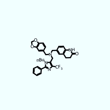 CCCCn1c(-c2ccccc2)nc(C(F)(F)F)c1CN(Cc1ccc2c(c1)CCC(=O)N2)Cc1ccc2c(c1)OCO2